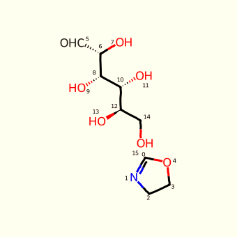 C1=NCCO1.O=C[C@H](O)[C@@H](O)[C@H](O)[C@H](O)CO